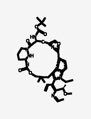 C=C/C(=C(\N=C/C)[C@H](C)OC)c1c2c3cc(ccc3n1CC)-c1nc(co1)C[C@H](NC(=O)OC(C)(C)C)C(=O)N1CCC[C@H](N1)C(=O)OCC(C)(C)C2